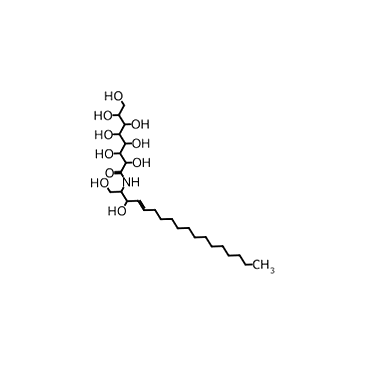 CCCCCCCCCCCCCC=CC(O)C(CO)NC(=O)C(O)C(O)C(O)C(O)C(O)C(O)CO